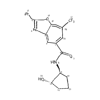 CC(C)c1nc2cc(C(=O)N[C@H]3CCC[C@@H]3O)cc(C(F)(F)F)c2o1